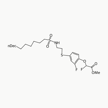 CCCCCCCCCCCCCCCCS(=O)(=O)NCCSc1ccc(OC(F)C(=O)OC)c(F)c1